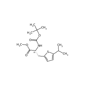 COC(=O)[C@@H](Cc1ccc(C(C)C)s1)NC(=O)OC(C)(C)C